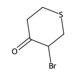 O=C1CCSCC1Br